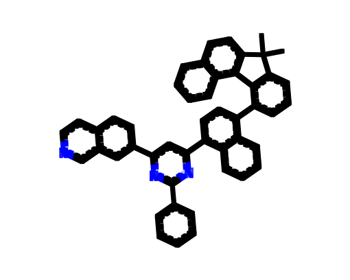 CC1(C)c2cccc(-c3ccc(-c4cc(-c5ccc6ccncc6c5)nc(-c5ccccc5)n4)c4ccccc34)c2-c2c1ccc1ccccc21